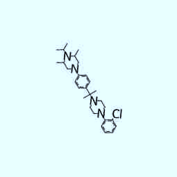 CC(C)N1C(C)CN(c2ccc(C(C)(C)N3CCN(c4ccccc4Cl)CC3)cc2)CC1C